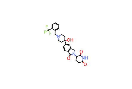 O=C1CCC(N2Cc3cc(C4(O)CCN(Cc5ccccc5C(F)(F)F)CC4)ccc3C2=O)C(=O)N1